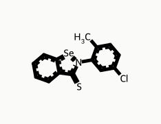 Cc1ccc(Cl)cc1-n1[se]c2ccccc2c1=S